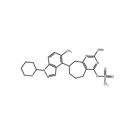 CSc1nc2c(c(OS(=O)(=O)C(F)(F)F)n1)CCCC(c1c(C)ccc3c1cnn3C1CCCCO1)C2